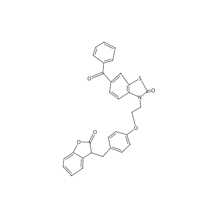 O=C(c1ccccc1)c1ccc2c(c1)sc(=O)n2CCOc1ccc(CC2C(=O)Oc3ccccc32)cc1